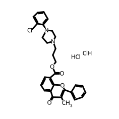 Cc1c(-c2ccccc2)oc2c(C(=O)OCCCN3CCN(c4ccccc4Cl)CC3)cccc2c1=O.Cl.Cl